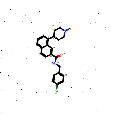 CN1CCC(c2cccc3ccc(C(=O)NCc4ccc(Cl)cc4)cc23)CC1